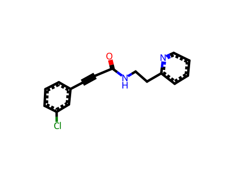 O=C(C#Cc1cccc(Cl)c1)NCCc1ccccn1